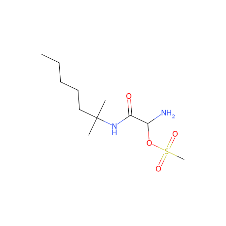 CCCCCC(C)(C)NC(=O)C(N)OS(C)(=O)=O